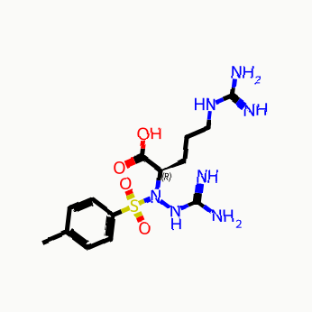 Cc1ccc(S(=O)(=O)N(NC(=N)N)[C@H](CCCNC(=N)N)C(=O)O)cc1